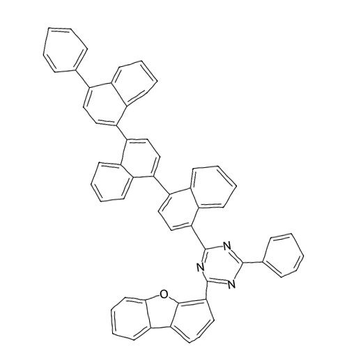 c1ccc(-c2nc(-c3ccc(-c4ccc(-c5ccc(-c6ccccc6)c6ccccc56)c5ccccc45)c4ccccc34)nc(-c3cccc4c3oc3ccccc34)n2)cc1